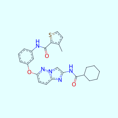 Cc1ccsc1C(=O)Nc1cccc(Oc2ccc3nc(NC(=O)C4CCCCC4)cn3n2)c1